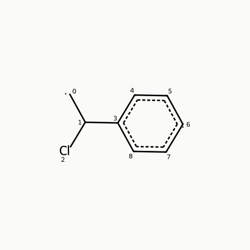 [CH2]C(Cl)c1cc[c]cc1